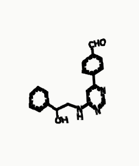 O=Cc1ccc(-c2cc(NCC(O)c3ccccc3)ncn2)cc1